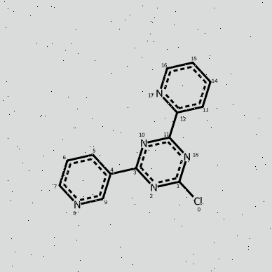 Clc1nc(-c2cccnc2)nc(-c2ccccn2)n1